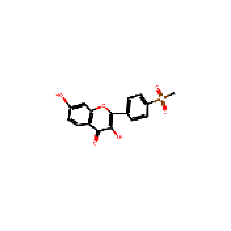 CS(=O)(=O)c1ccc(-c2oc3cc(O)ccc3c(=O)c2O)cc1